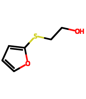 OCCSc1ccco1